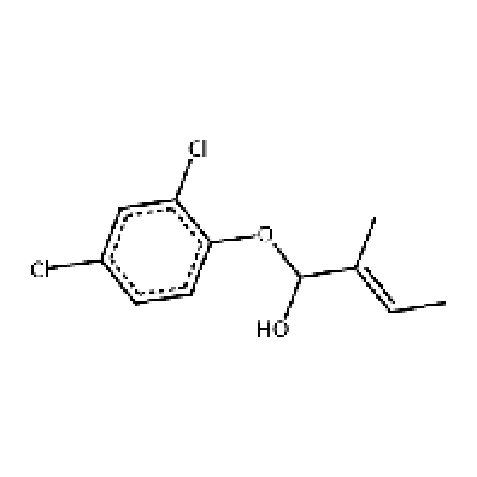 C/C=C(\C)C(O)Oc1ccc(Cl)cc1Cl